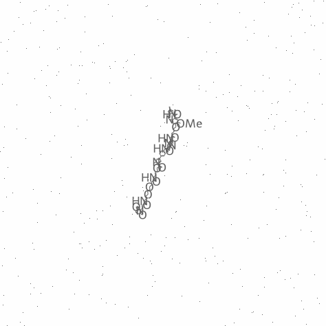 C=C1C[C@H]2C=Nc3cc(OCCCC(=O)Nc4cn(C)c(C(=O)Nc5ccc(-c6cc(C(=O)OCCCNC(=O)CCOCCOCCNC(=O)CCN7C(=O)C=CC7=O)n(C)c6)cc5)n4)c(OC)cc3C(=O)N2C1